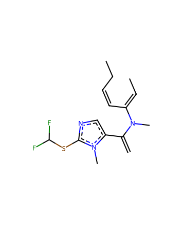 C=C(c1cnc(SC(F)F)n1C)N(C)C(/C=C\CC)=C/C